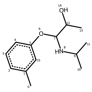 Cc1cccc(OC(NC(C)C)C(C)O)c1